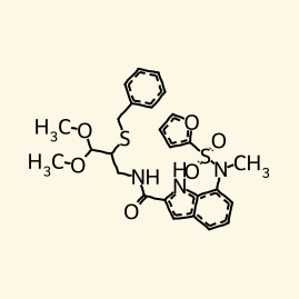 COC(OC)C(CNC(=O)c1cc2cccc(N(C)S(=O)(=O)c3ccco3)c2[nH]1)SCc1ccccc1